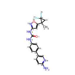 CC1(c2cc(NC(=O)Nc3ccc(-c4ccc(N)nc4)cc3)no2)CC1(F)F